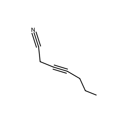 CCCC#CCC#N